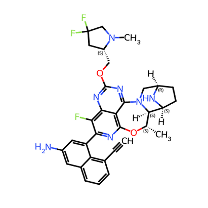 C#Cc1cccc2cc(N)cc(-c3nc4c5c(nc(OC[C@@H]6CC(F)(F)CN6C)nc5c3F)N3C[C@H]5CC[C@H](N5)[C@H]3[C@H](C)O4)c12